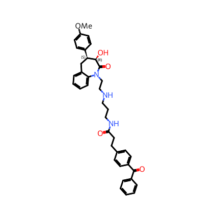 COc1ccc([C@@H]2Cc3ccccc3N(CCNCCCNC(=O)CCc3ccc(C(=O)c4ccccc4)cc3)C(=O)[C@@H]2O)cc1